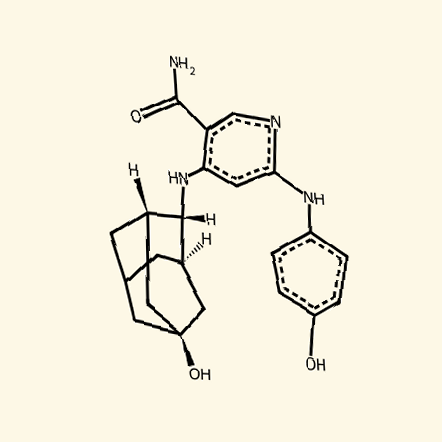 NC(=O)c1cnc(Nc2ccc(O)cc2)cc1N[C@@H]1[C@@H]2CC3C[C@H]1C[C@@](O)(C3)C2